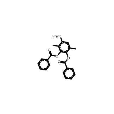 CCCCCc1cc(C)c(OC(=O)c2ccccc2)c(OC(=O)c2ccccc2)c1C